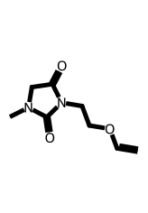 C=COCCN1C(=O)CN(C)C1=O